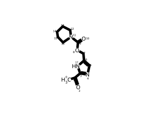 CC(=O)c1ncc(COC(=O)N2CCCCC2)[nH]1